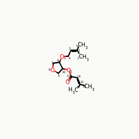 CC(C)=CCOC1COCC1OC(=O)C=C(C)C